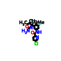 COc1c(F)cc(NC(=O)c2ccc(Cl)cn2)cc1[C@]1(CF)N=C(N)OC(C)[C@H]1C